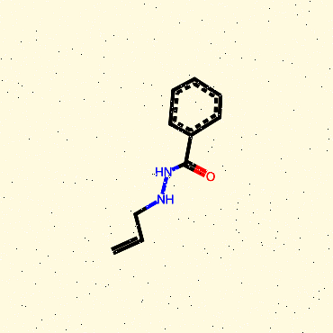 C=CCNNC(=O)c1ccccc1